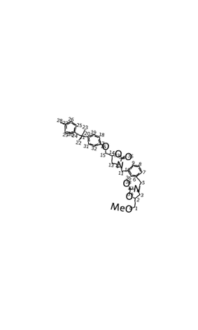 COCC1CN(Cc2cccc(CN3CC(COc4ccc(C(C)(C)c5ccc(C)cc5)cc4)OC3=O)c2)C(=O)O1